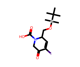 CC(C)(C)[Si](C)(C)OCC1C=C(I)C(=O)CN1C(=O)O